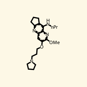 CCCNc1c2c(nc3cc(OCCCN4CCCC4)c(OC)nc13)CCC2